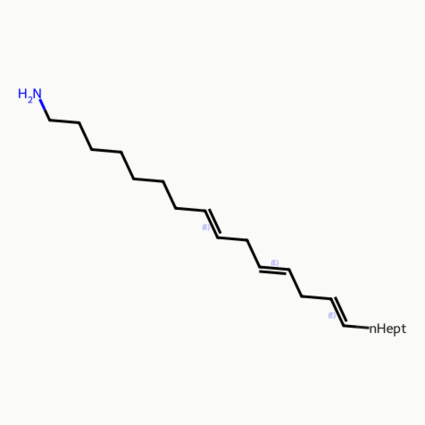 CCCCCCC/C=C/C/C=C/C/C=C/CCCCCCCN